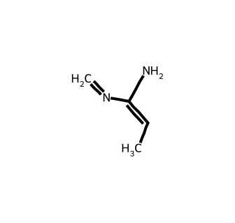 C=N/C(N)=C\C